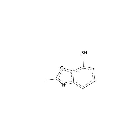 Cc1nc2cccc(S)c2o1